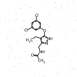 CCc1c(CNC(C)=O)n[nH]c1Oc1cc(Cl)cc(Cl)c1